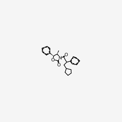 C[C@@H]1[C@H](c2ccccc2)OC(=O)N1C(=O)C(CC1CCCC1)c1ccccc1